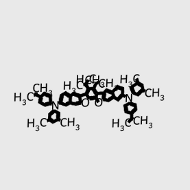 Cc1cc(C)cc(N(c2ccc(C(C)C)cc2)c2ccc3cc4c(cc3c2)oc2c3oc5cc6cc(N(c7ccc(C(C)C)cc7)c7cc(C)cc(C)c7)ccc6cc5c3c(C(C)C)c(C(C)C)c42)c1